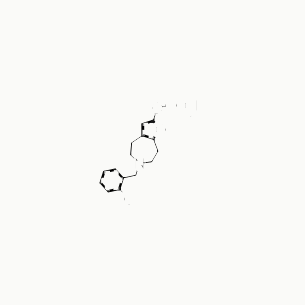 O=C(O)Oc1cc2c(o1)CCN(Cc1ccccc1Cl)CC2